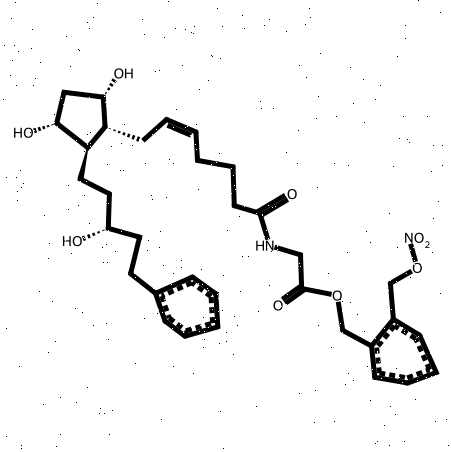 O=C(CCC/C=C\C[C@@H]1[C@@H](CC[C@@H](O)CCc2ccccc2)[C@H](O)C[C@@H]1O)NCC(=O)OCc1ccccc1CO[N+](=O)[O-]